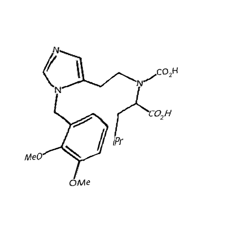 COc1cccc(Cn2cncc2CCN(C(=O)O)C(CC(C)C)C(=O)O)c1OC